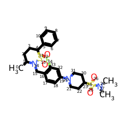 CC1CCC(c2ccccc2)S(=O)(=O)N1Cc1ccc(N2CCC(S(=O)(=O)N(C)C)CC2)cc1F